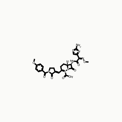 CO/N=C(\C(=O)N[C@H]1C(=O)N2[C@@H]1CCC(/C=C1\CCN(C(=O)c3ccc(OC)cc3)C1=O)=S2C(=O)O)c1csc(N)n1